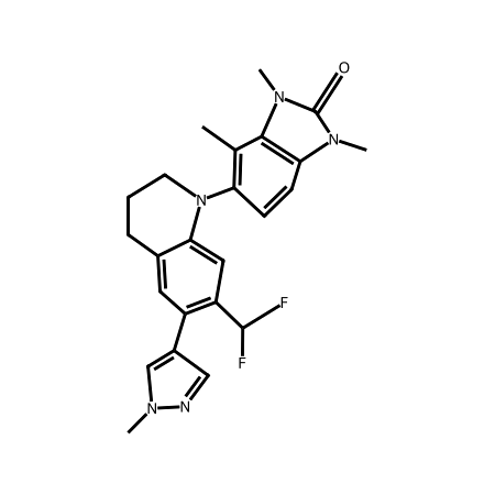 Cc1c(N2CCCc3cc(-c4cnn(C)c4)c(C(F)F)cc32)ccc2c1n(C)c(=O)n2C